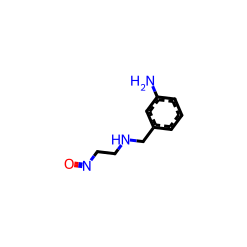 Nc1cccc(CNCCN=O)c1